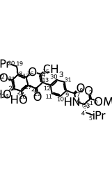 COC(=O)[C@H](CC(C)C)NC(=O)c1ccc(-c2c(C)oc3c(CC(C)C)c(O)c(O)c(O)c3c2=O)cc1